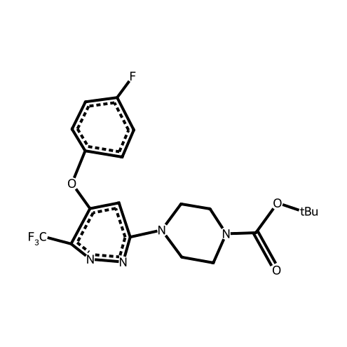 CC(C)(C)OC(=O)N1CCN(c2cc(Oc3ccc(F)cc3)c(C(F)(F)F)nn2)CC1